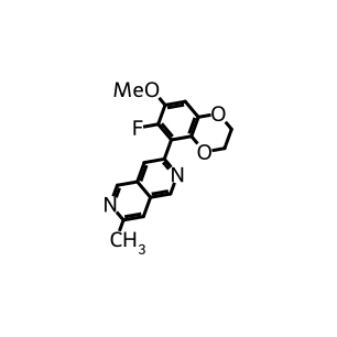 COc1cc2c(c(-c3cc4cnc(C)cc4cn3)c1F)OCCO2